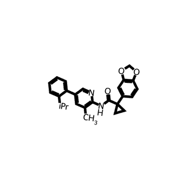 Cc1cc(-c2ccccc2C(C)C)cnc1NC(=O)C1(c2ccc3c(c2)OCO3)CC1